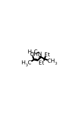 CCC(C)(CC)/C(C=C(C)C)=N/C